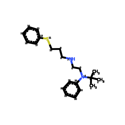 CC(C)(C)N(CCNCCCSc1ccccc1)c1ccccc1